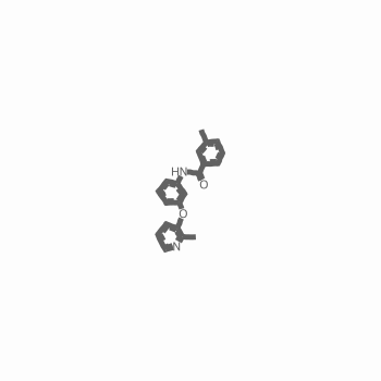 Cc1cccc(C(=O)Nc2cccc(Oc3cccnc3C)c2)c1